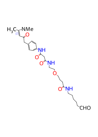 CN/C(C)=C\C(=O)Cc1ccc(NC(=O)CC(=O)NCCOCCCC(=O)NCCCCCC=O)cc1